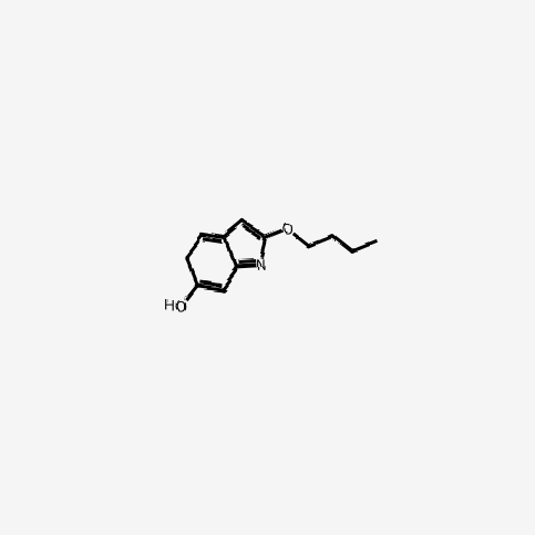 CCCCOC1=CC2=CCC(O)=CC2=N1